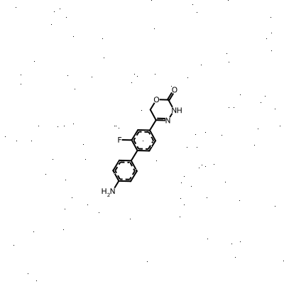 Nc1ccc(-c2ccc(C3=NNC(=O)OC3)cc2F)cc1